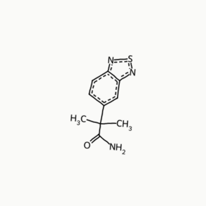 CC(C)(C(N)=O)c1ccc2nsnc2c1